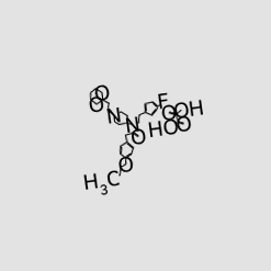 CCCOc1ccc(CC(=O)N(CCc2ccc(F)cc2)C2CCN(CCC3OCCCO3)CC2)cc1.O=C(O)C(=O)O